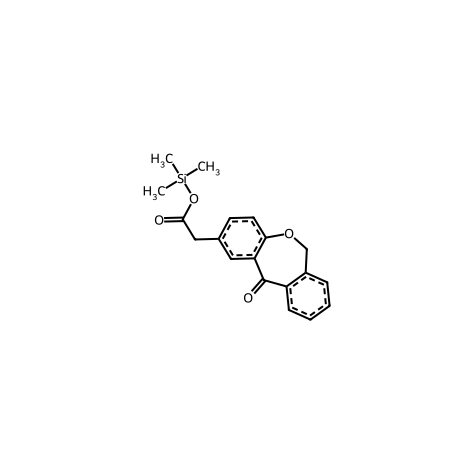 C[Si](C)(C)OC(=O)Cc1ccc2c(c1)C(=O)c1ccccc1CO2